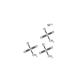 CS(=O)(=O)[O-].CS(=O)(=O)[O-].CS(=O)(=O)[O-].[Sb+3]